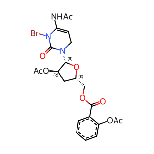 CC(=O)NC1=CCN([C@@H]2O[C@H](COC(=O)c3ccccc3OC(C)=O)C[C@H]2OC(C)=O)C(=O)N1Br